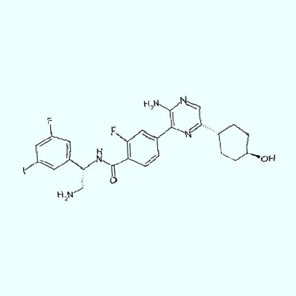 NC[C@@H](NC(=O)c1ccc(-c2nc([C@H]3CC[C@H](O)CC3)cnc2N)cc1F)c1cc(F)cc(I)c1